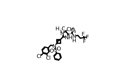 CC1(C)N=C(C23CC(N(Cc4ccc(Cl)c(Cl)c4)S(=O)(=O)c4ccccc4)(C2)C3)N[C@H]1C(=O)NCCC(F)(F)F